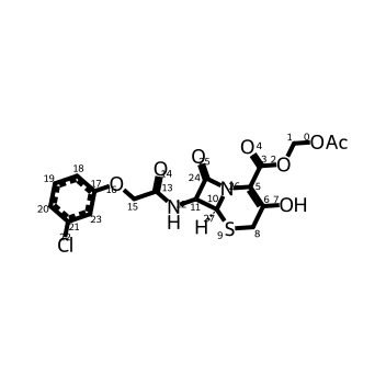 CC(=O)OCOC(=O)C1=C(O)CS[C@H]2C(NC(=O)COc3cccc(Cl)c3)C(=O)N12